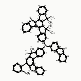 Cc1ccccc1-c1cc2c(c3c1oc1ccccc13)-c1ccc(N(c3ccc4c(c3)C(C)(C)c3c5c(c6oc7ccccc7c6c3-4)-c3ccccc3C5(C)C)c3ccc4oc5ccccc5c4c3)cc1C2(C)C